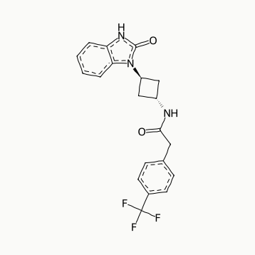 O=C(Cc1ccc(C(F)(F)F)cc1)N[C@H]1C[C@H](n2c(=O)[nH]c3ccccc32)C1